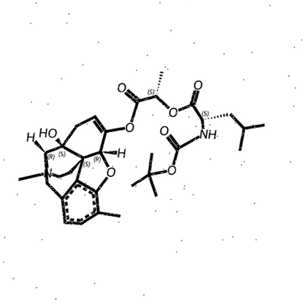 Cc1ccc2c3c1O[C@H]1C(OC(=O)[C@H](C)OC(=O)[C@H](CC(C)C)NC(=O)OC(C)(C)C)=CC[C@@]4(O)[C@@H](C2)N(C)CC[C@]314